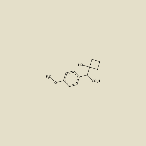 O=C(O)C(c1ccc(OC(F)(F)F)cc1)C1(O)CCC1